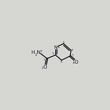 NC(=O)C1=NC=CC(=O)C1